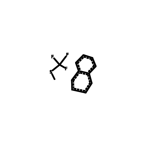 CSC(F)(F)F.c1ccc2ccccc2c1